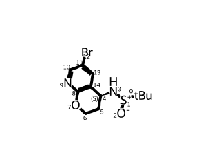 CC(C)(C)[S+]([O-])N[C@H]1CCOc2ncc(Br)cc21